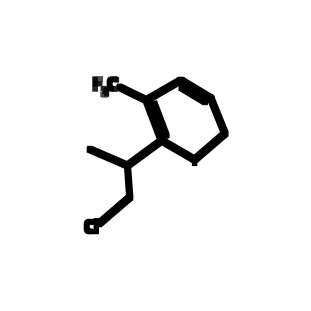 CC(CCl)C1=C(C(F)(F)F)C=CC[CH]1